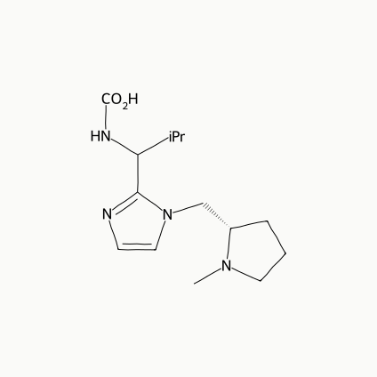 CC(C)C(NC(=O)O)c1nccn1C[C@@H]1CCCN1C